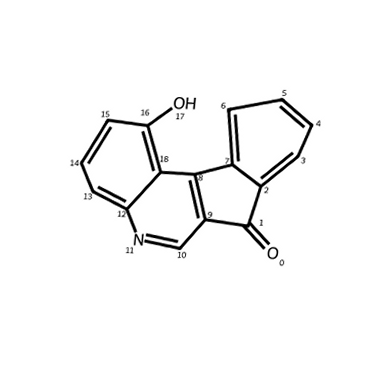 O=C1c2ccccc2-c2c1cnc1cccc(O)c21